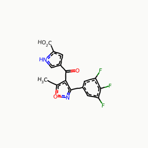 Cc1onc(-c2cc(F)c(F)c(F)c2)c1C(=O)c1c[nH]c(C(=O)O)c1